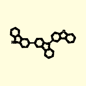 c1ccc2c(c1)[nH]c1ccc(-c3ccc4c(c3)c3ccccc3n4-c3ccc4oc5ccccc5c4c3)cc12